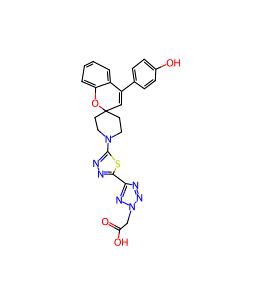 O=C(O)Cn1nnc(-c2nnc(N3CCC4(C=C(c5ccc(O)cc5)c5ccccc5O4)CC3)s2)n1